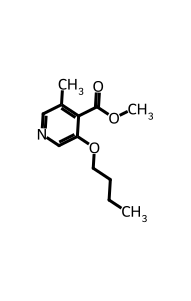 CCCCOc1cncc(C)c1C(=O)OC